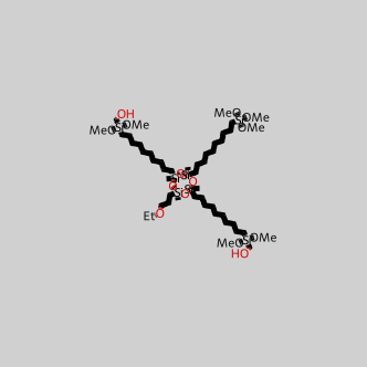 CCOCCC[Si]1(C)O[Si](C)(CCCCCCCCCC[Si](CO)(OC)OC)O[Si](C)(CCCCCCCCCC[Si](OC)(OC)OC)O[Si](C)(CCCCCCCCCC[Si](CO)(OC)OC)O1